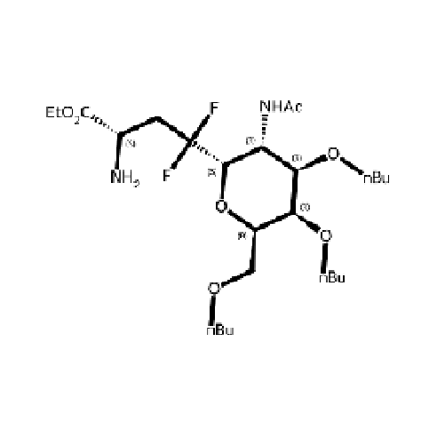 CCCCOC[C@H]1O[C@H](C(F)(F)C[C@H](N)C(=O)OCC)[C@H](NC(C)=O)[C@@H](OCCCC)[C@H]1OCCCC